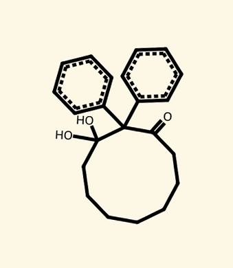 O=C1CCCCCCCC(O)(O)C1(c1ccccc1)c1ccccc1